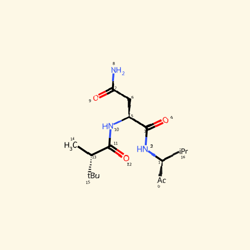 CC(=O)[C@@H](NC(=O)[C@H](CC(N)=O)NC(=O)[C@@H](C)C(C)(C)C)C(C)C